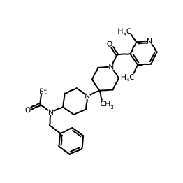 CCC(=O)N(Cc1ccccc1)C1CCN(C2(C)CCN(C(=O)c3c(C)ccnc3C)CC2)CC1